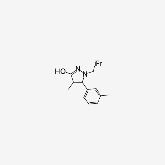 Cc1cccc(-c2c(C)c(O)nn2CC(C)C)c1